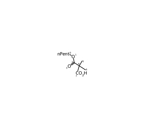 CCCCCOC(=O)C(C)(C)C(=O)O